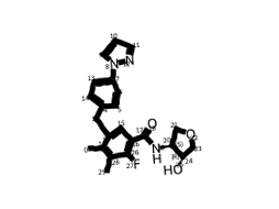 Cc1c(Cc2ccc(-n3cccn3)cc2)cc(C(=O)N[C@H]2COC[C@@H]2O)c(F)c1C